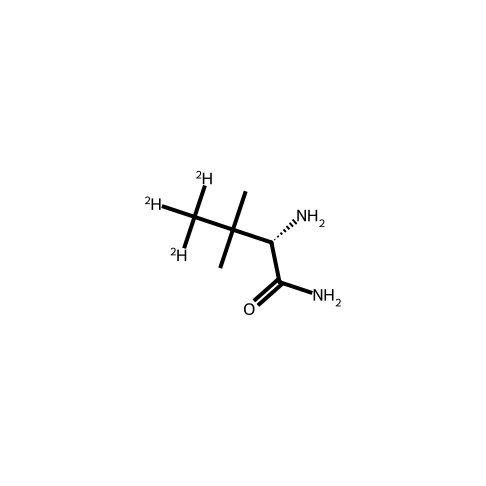 [2H]C([2H])([2H])C(C)(C)[C@H](N)C(N)=O